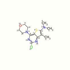 Cc1c(N(C)C)sc2c(N3CCOCC3)nc(Cl)nc12